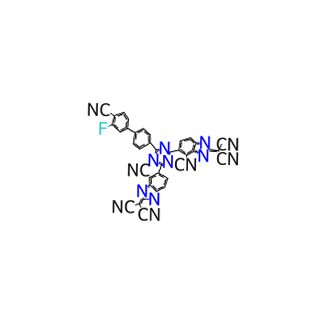 N#CC(C#N)=C1N=c2ccc(-c3nc(-c4ccc(-c5ccc(C#N)c(F)c5)cc4)nc(-c4ccc5c(c4C#N)=NC(=C(C#N)C#N)N=5)n3)c(C#N)c2=N1